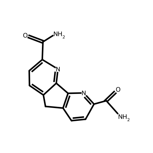 NC(=O)c1ccc2c(n1)-c1nc(C(N)=O)ccc1C2